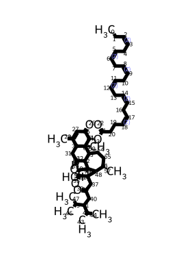 CC/C=C\C/C=C\C/C=C\C/C=C\C/C=C\C/C=C\CCC(=O)O[C@@H]1C(=O)C=C(C)C2C[C@H]3OC(=O)C(CC(=O)CC(C(C)C)C(C)C)C4[C@H](CO)C3C(CC[C@@H]4C)[C@]21C